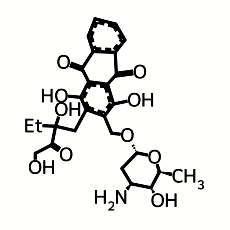 CCC(O)(Cc1c(O)c2c(c(O)c1CO[C@H]1C[C@H](N)[C@@H](O)[C@H](C)O1)C(=O)c1ccccc1C2=O)C(=O)CO